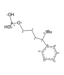 CC(C)(C)C(CCCOP(O)O)c1ccccc1